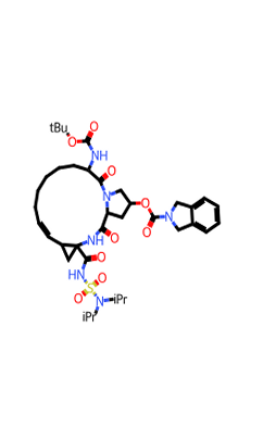 CC(C)N(C(C)C)S(=O)(=O)NC(=O)C12CC1C=CCCCCCC(NC(=O)OC(C)(C)C)C(=O)N1CC(OC(=O)N3Cc4ccccc4C3)CC1C(=O)N2